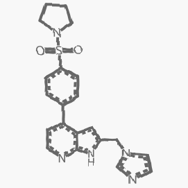 O=S(=O)(c1ccc(-c2ccnc3[nH]c(Cn4ccnc4)cc23)cc1)N1CCCC1